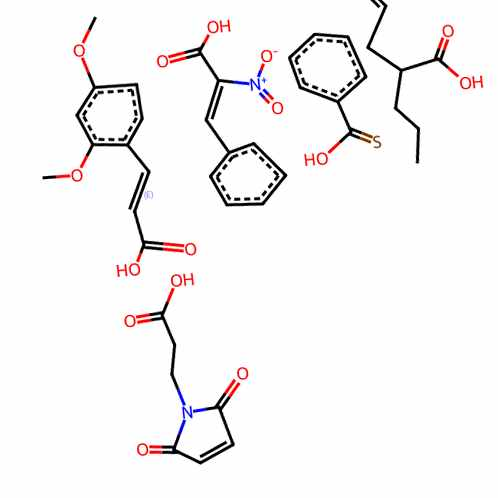 C=CCC(CCC)C(=O)O.COc1ccc(/C=C/C(=O)O)c(OC)c1.O=C(O)C(=Cc1ccccc1)[N+](=O)[O-].O=C(O)CCN1C(=O)C=CC1=O.OC(=S)c1ccccc1